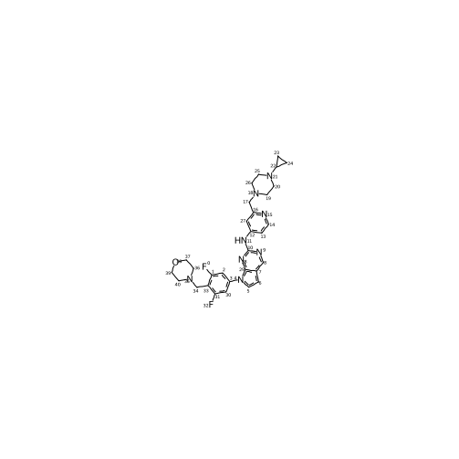 Fc1cc(-n2ccc3cnc(Nc4ccnc(CN5CCN(C6CC6)CC5)c4)nc32)cc(F)c1CN1CCOCC1